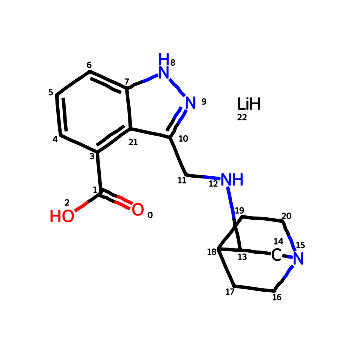 O=C(O)c1cccc2[nH]nc(CNC3CN4CCC3CC4)c12.[LiH]